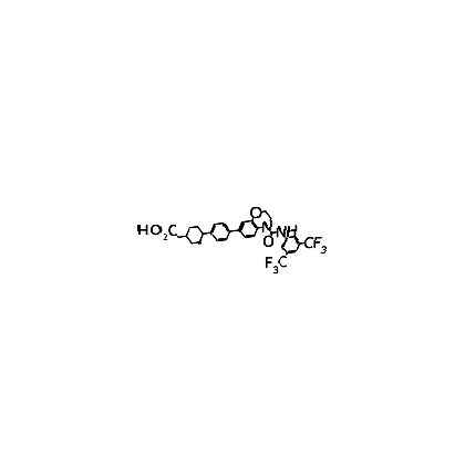 O=C(O)CC1CCC(c2ccc(-c3ccc4c(c3)OCCN4C(=O)Nc3cc(C(F)(F)F)cc(C(F)(F)F)c3)cc2)CC1